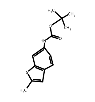 Cc1cc2ccc(NC(=O)OC(C)(C)C)cc2s1